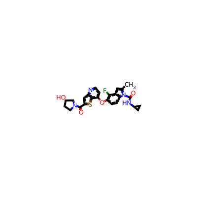 Cc1cc2c(F)c(Oc3ccnc4cc(C(=O)N5CC[C@H](O)C5)sc34)ccc2n1C(=O)NC1CC1